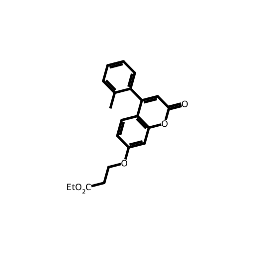 CCOC(=O)CCOc1ccc2c(-c3ccccc3C)cc(=O)oc2c1